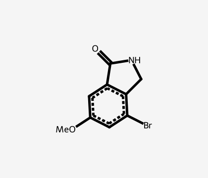 COc1cc(Br)c2c(c1)C(=O)NC2